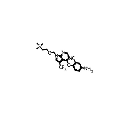 CS(C)(C)CCOCn1cc(C(F)(F)F)c2c(Oc3ccc(N)cc3C#N)ccnc21